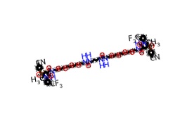 Cc1c([S@@+]([O-])c2ccc(C#N)cc2)cc(C(=O)NCCOCCOCCOCCOCCNC(=O)NCCCCNC(=O)NCCOCCOCCOCCOCCNC(=O)c2cc([S@@+]([O-])c3ccc(C#N)cc3)c(C)n(-c3cccc(C(F)(F)F)c3)c2=O)c(=O)n1-c1cccc(C(F)(F)F)c1